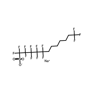 O=S(=O)([O-])C(F)(F)C(F)(F)C(F)(F)C(F)(F)C(F)(F)CCCCCCC(F)(F)F.[Na+]